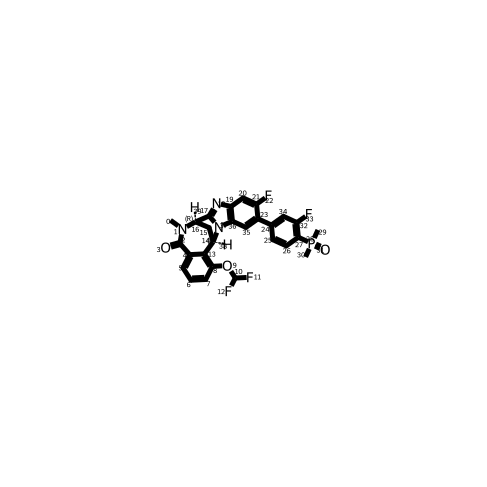 CN1C(=O)c2cccc(OC(F)F)c2[C@H]2C[C@@H]1c1nc3cc(F)c(-c4ccc(P(C)(C)=O)c(F)c4)cc3n12